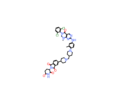 Cc1cc(Nc2ncc3c(n2)N(C)CN(c2c(Cl)cccc2Cl)C3=O)ccc1N1CCC(CN2CCC(c3ccc4c(c3)C(=O)N(C3CCC(=O)NC3=O)C4=O)CC2)CC1